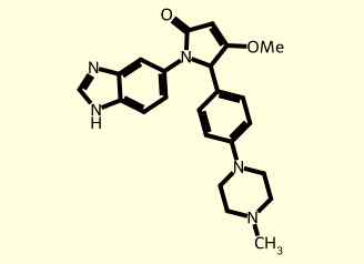 COC1=CC(=O)N(c2ccc3[nH]cnc3c2)C1c1ccc(N2CCN(C)CC2)cc1